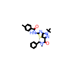 Cc1ccc(C(=O)Nc2nc3c(s2)c(C(=O)N(C)[C@@H](C)c2ccccc2)nn3C(C)(C)C)cc1